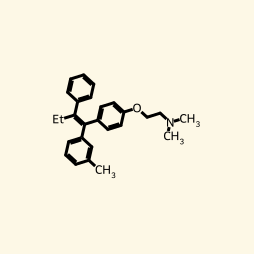 CCC(=C(c1ccc(OCCN(C)C)cc1)c1cccc(C)c1)c1ccccc1